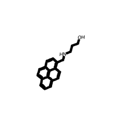 OCCCNCc1ccc2ccc3cccc4ccc1c2c34